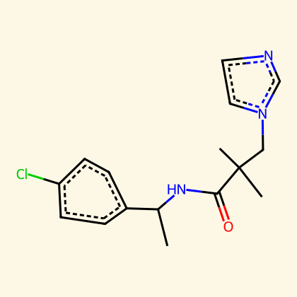 CC(NC(=O)C(C)(C)Cn1ccnc1)c1ccc(Cl)cc1